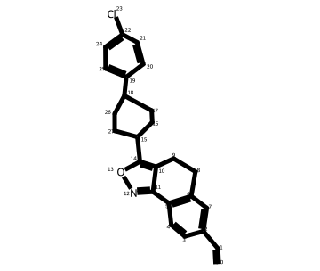 C=Cc1ccc2c(c1)CCc1c-2noc1C1CCC(c2ccc(Cl)cc2)CC1